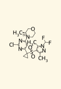 Cc1nn(C(F)F)c(C)c1S(=O)(=O)C1(c2cc(N3CCOC[C@@H]3C)nc(Cl)n2)CC1